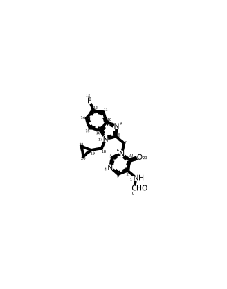 O=CNc1cncn(Cc2nc3cc(F)ccc3n2CC2CC2)c1=O